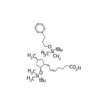 C[C@@H]1C[C@H](O[Si](C)(C)C(C)(C)C)[C@H](C/C=C\CCCC(=O)O)[C@H]1CC[C@H](CCc1ccccc1)O[Si](C)(C)C(C)(C)C